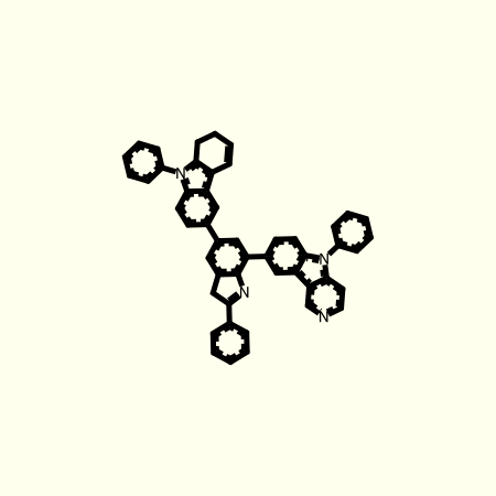 C1=Cc2c(n(-c3ccccc3)c3ccc(-c4cc5c(c(-c6ccc7c(c6)c6cnccc6n7-c6ccccc6)c4)N=C(c4ccccc4)C5)cc23)CC1